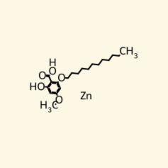 CCCCCCCCCCCCOc1cc(OC)cc(O)c1C(=O)O.[Zn]